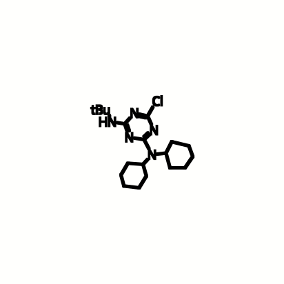 CC(C)(C)Nc1nc(Cl)nc(N(C2CCCCC2)C2CCCCC2)n1